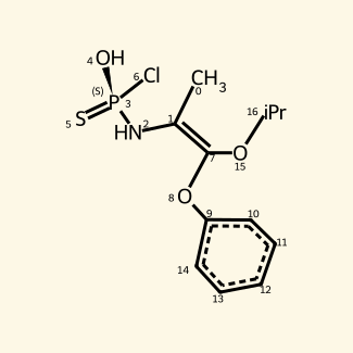 CC(N[P@](O)(=S)Cl)=C(Oc1ccccc1)OC(C)C